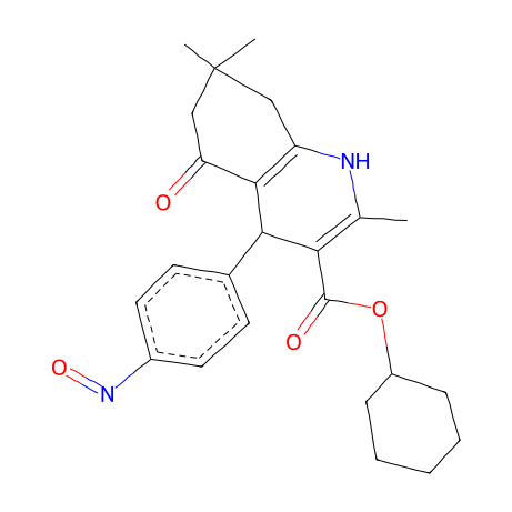 CC1=C(C(=O)OC2CCCCC2)C(c2ccc(N=O)cc2)C2=C(CC(C)(C)CC2=O)N1